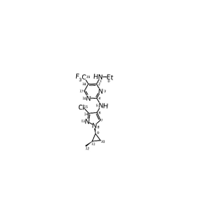 CCNc1nc(Nc2cn([C@H]3C[C@H]3C)nc2Cl)ncc1C(F)(F)F